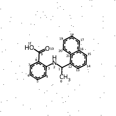 CC(Nc1ccccc1C(=O)O)c1cccc2ccccc12